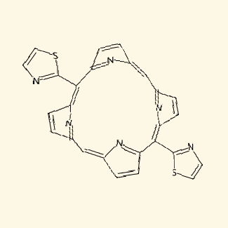 C1=CC2=NC1=CC1=NC(=C(c3nccs3)C3=NC(=CC4=NC(=C2c2nccs2)C=C4)C=C3)C=C1